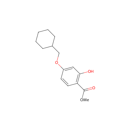 COC(=O)c1ccc(OCC2CCCCC2)cc1O